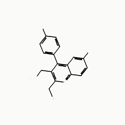 Cc1ccc(-c2c(CN)c(CC(C)C)nc3ccc(C)cc23)cc1